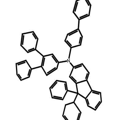 C1=CCC(C2(c3ccccc3)c3ccccc3-c3ccc(N(c4ccc(-c5ccccc5)cc4)c4ccc(-c5ccccc5)c(-c5ccccc5)c4)cc32)C=C1